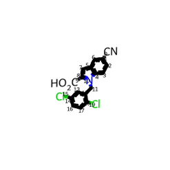 N#Cc1ccc2c(c1)cc(C(=O)O)n2Cc1cc(Cl)ccc1Cl